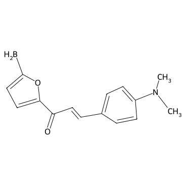 Bc1ccc(C(=O)/C=C/c2ccc(N(C)C)cc2)o1